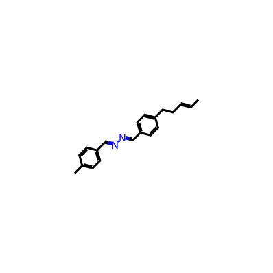 C/C=C/CCc1ccc(/C=N/N=C/c2ccc(C)cc2)cc1